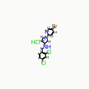 Cl.Clc1ccc(CN[C@H]2CCN(c3ccc(Br)cn3)C2)c(Cl)c1